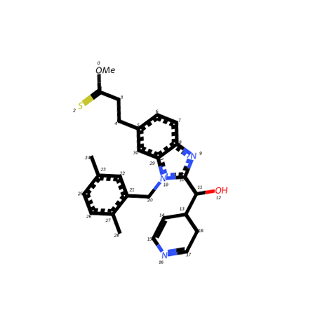 COC(=S)CCc1ccc2nc(C(O)C3C=CN=CC3)n(Cc3cc(C)ccc3C)c2c1